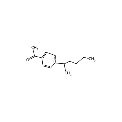 CCCCC(C)c1ccc(C(C)=O)cc1